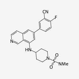 CNS(=O)(=O)N1CCC(Nc2cc(-c3ccc(F)c(C#N)c3)cc3ccncc23)CC1